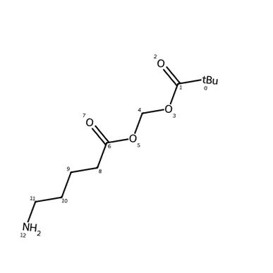 CC(C)(C)C(=O)OCOC(=O)CCCCN